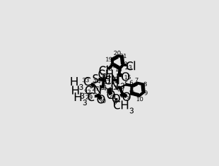 COC(=O)[C@H](Cc1ccccc1)N(NC(=O)c1c(Cl)cccc1Cl)C(=O)[C@@H]1N(C(C)=O)C(C)(C)SC1(C)C